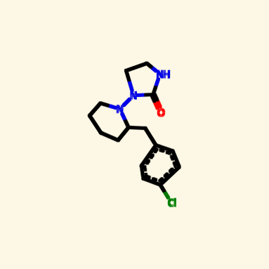 O=C1NCCN1N1CCCCC1Cc1ccc(Cl)cc1